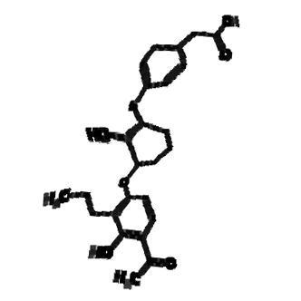 CCCc1c(OC2CCCC(Sc3ccc(CC(=O)O)cc3)C2O)ccc(C(C)=O)c1O